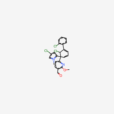 COc1nc(C2(c3cc(Cl)cn3C)C=CC=C(c3ccccc3Cl)C2Cl)ccc1C=O